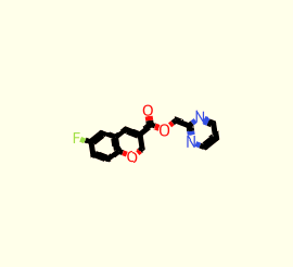 O=C(OCc1ncccn1)C1=Cc2cc(F)ccc2OC1